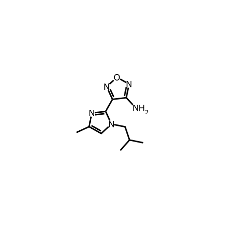 Cc1cn(CC(C)C)c(-c2nonc2N)n1